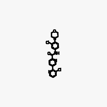 O=C(Nc1ccc(N2CCOCC2)c(Cl)c1)c1ccc(-c2ncccc2Cl)cn1